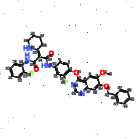 COc1cc2c(Oc3ccc(NC(=O)/C(C(=O)Nc4ccccc4F)=C4\CCCCN4)cc3F)ncnc2cc1OCc1ccccc1